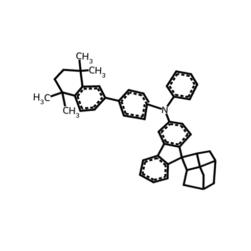 CC1(C)CCC(C)(C)c2cc(-c3ccc(N(c4ccccc4)c4ccc5c(c4)-c4ccccc4C54C5CC6CC7CC4C75C6)cc3)ccc21